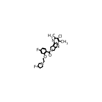 Cc1nc2c3c(nn2c(C)c1Cl)CN(C(=O)c1ccc(F)cc1OCCN1CC[C@H](F)C1)C3